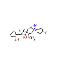 CCC1=Cc2c(cnn2-c2ccc(F)cc2)CC1(C)[C@@H](O)C#Cc1ccccc1S